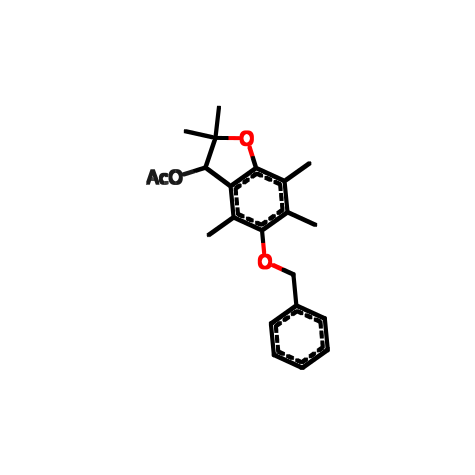 CC(=O)OC1c2c(C)c(OCc3ccccc3)c(C)c(C)c2OC1(C)C